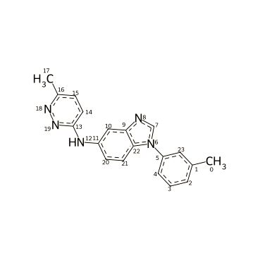 Cc1cccc(-n2cnc3cc(Nc4ccc(C)nn4)ccc32)c1